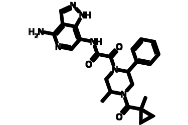 CC1CN(C(=O)C(=O)Nc2cnc(N)c3cn[nH]c23)C(c2ccccc2)CN1C(=O)C1(C)CC1